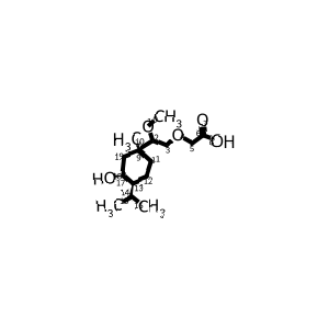 COC(COCC(=O)O)[C@]1(C)CC[C@@H](C(C)C)[C@H](O)C1